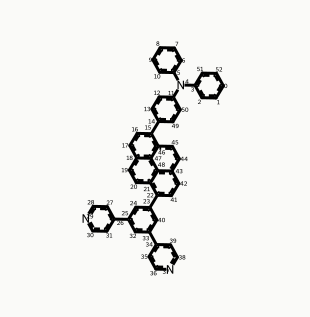 c1ccc(N(c2ccccc2)c2ccc(-c3ccc4ccc5c(-c6cc(-c7ccncc7)cc(-c7ccncc7)c6)ccc6ccc3c4c65)cc2)cc1